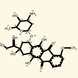 COc1cccc2c1C(=O)c1c(O)c3c(c(O)c1C2=O)CC(O)(C(=N)CO)C[C@@H]3O[C@H]1CC(N)C(O)C(C)O1